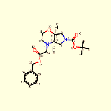 CC(C)(C)OC(=O)N1C[C@@H]2OCCN(CC(=O)OCc3ccccc3)[C@@H]2C1